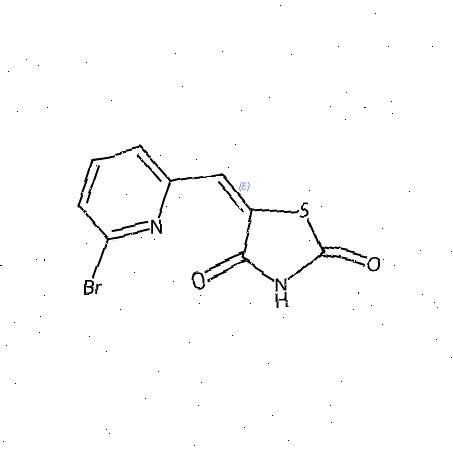 O=C1NC(=O)/C(=C\c2cccc(Br)n2)S1